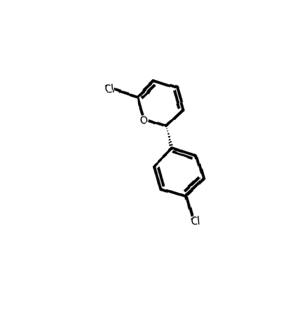 ClC1=CC=C[C@H](c2ccc(Cl)cc2)O1